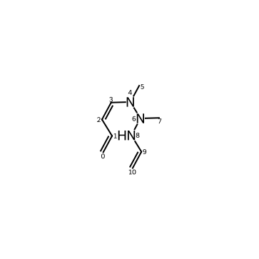 C=C/C=C\N(C)N(C)NC=C